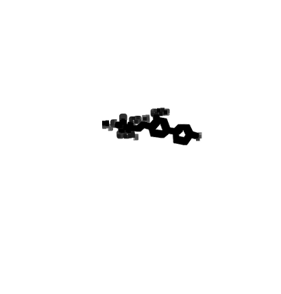 COc1cc(-c2ccc(F)cc2)ccc1CCC(C)(C(=O)O)S(C)(=O)=O